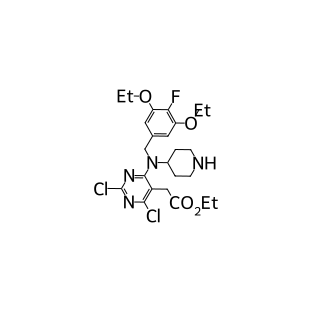 CCOC(=O)Cc1c(Cl)nc(Cl)nc1N(Cc1cc(OCC)c(F)c(OCC)c1)C1CCNCC1